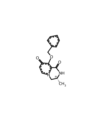 C[C@@H]1Cn2ccc(=O)c(OCc3ccccc3)c2C(=O)N1